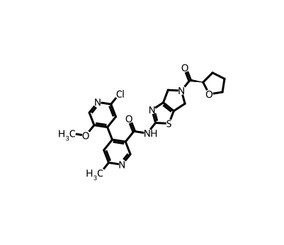 COc1cnc(Cl)cc1-c1cc(C)ncc1C(=O)Nc1nc2c(s1)CN(C(=O)[C@H]1CCCO1)C2